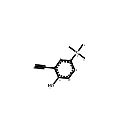 C#Cc1cc([Si](C)(C)C)ccc1O